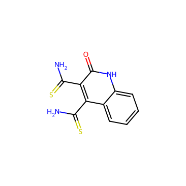 NC(=S)c1c(C(N)=S)c2ccccc2[nH]c1=O